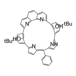 CC(C)(C)c1cc2c3nc(c(-c4ccccc4)c4ccc([nH]4)c4cc(C(C)(C)C)cc(c4O)c4ccc5ccc6ccc(nc6c5n4)c(c1)c2O)C=C3